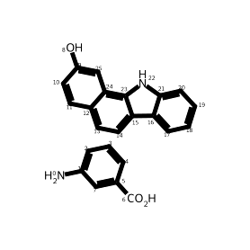 Nc1cccc(C(=O)O)c1.Oc1ccc2ccc3c4ccccc4[nH]c3c2c1